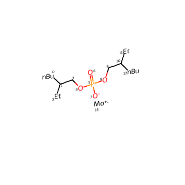 CCCCC(CC)COP(=O)([O-])OCC(CC)CCCC.[Mo+]